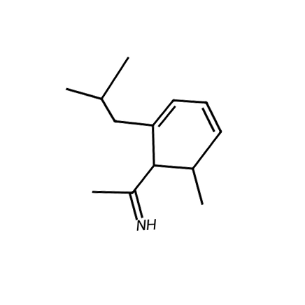 CC(=N)C1C(CC(C)C)=CC=CC1C